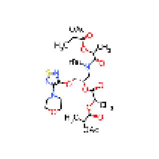 CC(=O)O[C@@H](C)C(=O)O[C@@H](C)C(=O)O[C@H](COc1nsnc1N1CCOCC1)CN(C(=O)[C@H](C)OC(=O)[C@H](C)OC(C)=O)C(C)(C)C